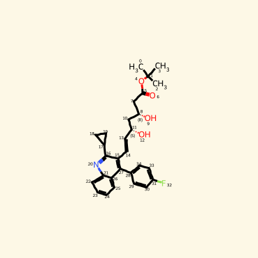 CC(C)(C)OC(=O)C[C@H](O)C[C@H](O)C=Cc1c(C2CC2)nc2ccccc2c1-c1ccc(F)cc1